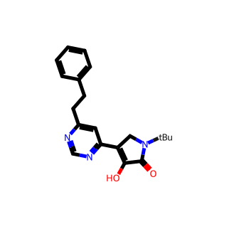 CC(C)(C)N1CC(c2cc(CCc3ccccc3)ncn2)=C(O)C1=O